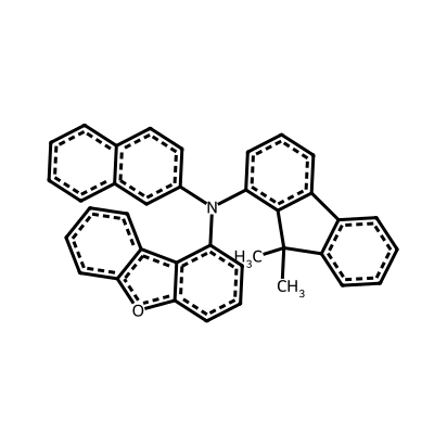 CC1(C)c2ccccc2-c2cccc(N(c3ccc4ccccc4c3)c3cccc4oc5ccccc5c34)c21